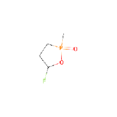 CP1(=O)CCC(F)O1